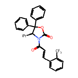 CC(C)C1N(C(=O)C=Cc2ccccc2C(F)(F)F)C(=O)OC1(c1ccccc1)c1ccccc1